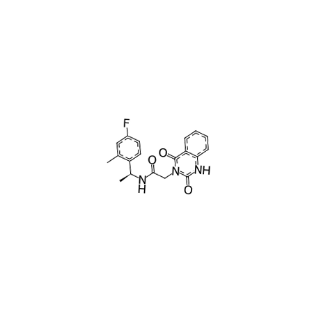 Cc1cc(F)ccc1[C@H](C)NC(=O)Cn1c(=O)[nH]c2ccccc2c1=O